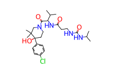 CC(C)NC(=O)NCCC(=O)N[C@@H](C(=O)N1CC[C@](O)(c2ccc(Cl)cc2)C(C)(C)C1)C(C)C